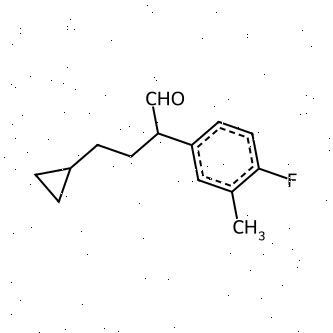 Cc1cc(C(C=O)CCC2CC2)ccc1F